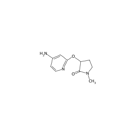 CN1CCC(Oc2cc(N)ccn2)C1=O